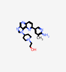 Cc1cc(-c2ccc3ncc4ncn(C5CCN(CCO)CC5)c4c3n2)cnc1N